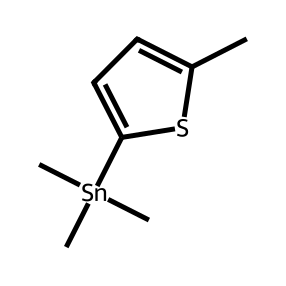 Cc1cc[c]([Sn]([CH3])([CH3])[CH3])s1